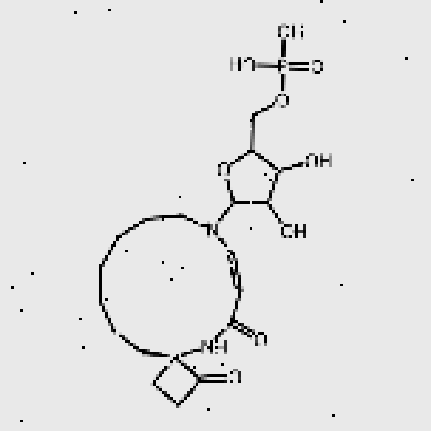 O=C1/C=C\N(C2OC(COP(=O)(O)O)C(O)C2O)CCCCCCC[C@@]2(CCC2=O)N1